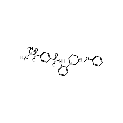 CN(C)S(=O)(=O)c1ccc(S(=O)(=O)Nc2ccccc2N2CCC[C@H](COc3ccccc3)C2)cc1